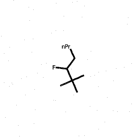 CCCCC(F)C(C)(C)C